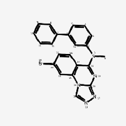 CN(c1cccc(-c2ccccc2)c1)c1nc2nncn2c2cc(Br)ccc12